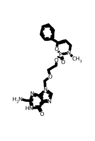 CN1CC=C(c2ccccc2)OP1(=O)OCCOCn1cnc2c(=O)[nH]c(N)nc21